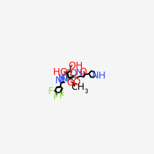 CC(=O)O[C@@H]1[C@@H](n2cc(-c3cc(F)c(F)c(F)c3)nn2)[C@@H](O)[C@@H](CO)O[C@@H]1Cc1cc(C2CCNCC2)on1